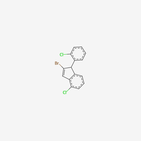 Clc1ccccc1C1C(Br)=Cc2c(Cl)cccc21